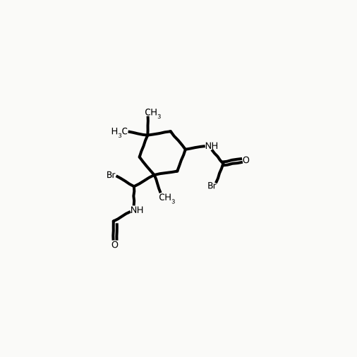 CC1(C)CC(NC(=O)Br)CC(C)(C(Br)NC=O)C1